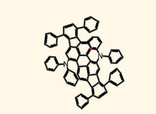 c1ccc(-c2ccc(-c3ccccc3)c3c2-c2ccc4c5c(N(c6ccccc6)c6ccccc6)cc6c7c(ccc(c8c(N(c9ccccc9)c9ccccc9)cc-3c2c48)c75)-c2c(-c3ccccc3)ccc(-c3ccccc3)c2-6)cc1